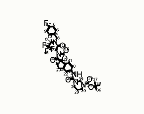 C[C@H](N(Cc1ccc(F)cc1)C(=O)CN1C(=O)O[C@@]2(CCc3cc(NC(=O)N4CCCN(C(=O)OC(C)(C)C)C4)ccc32)C1=O)C(F)(F)F